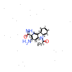 CC(C)C(=O)n1c2ccccc2c2cc(C(N)=O)c(N)cc21